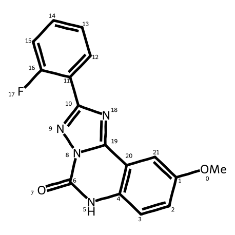 COc1ccc2[nH]c(=O)n3nc(-c4ccccc4F)nc3c2c1